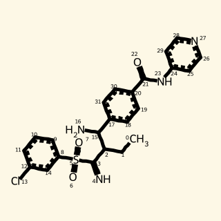 CCC(C(=N)S(=O)(=O)c1cccc(Cl)c1)C(N)c1ccc(C(=O)Nc2ccncc2)cc1